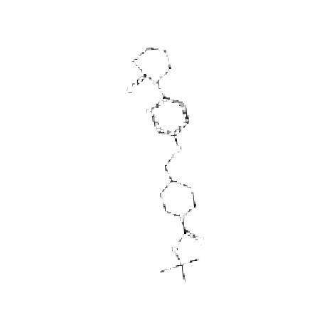 CC(C)(C)OC(=O)N1CCC(COc2ccc(N3CCCCC3=O)nc2)CC1